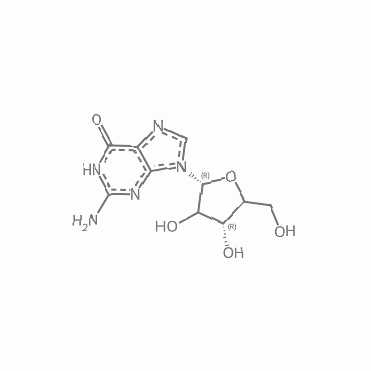 Nc1nc2c(ncn2[C@@H]2OC(CO)[C@H](O)C2O)c(=O)[nH]1